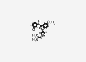 COc1ccc2c(c1)c(Nc1cccc(Cl)c1)nn2-c1cnn(CC(C)C)c1